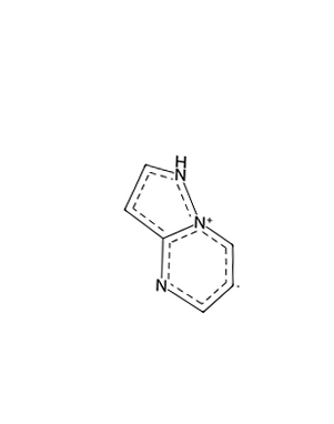 [c]1cnc2cc[nH][n+]2c1